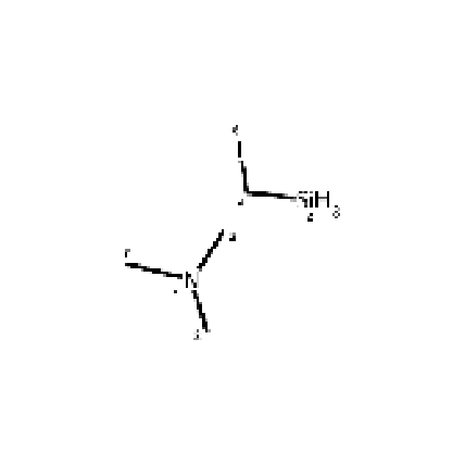 CN(C)C.[SiH3]CI